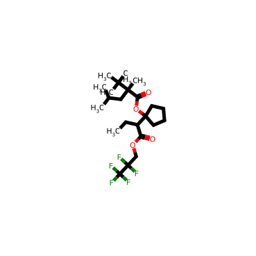 CCC(C(=O)OCC(F)(F)C(F)(F)F)C1(OC(=O)C(C)(CC(C)C)C(C)(C)C)CCCC1